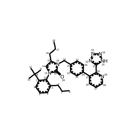 CCCc1cccc(C(C)(C)C)c1-n1cc(CCC)n(Cc2ccc(-c3cccnc3-c3nnn[nH]3)cc2)c1=O